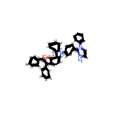 C1=CN(c2ccccc2)C(c2ccc(-n3c4ccccc4c4c5oc(-c6ccccc6)c(-c6ccccc6)c5ccc43)cc2)N1